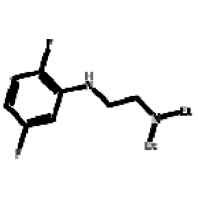 CCN(CC)CCNc1cc(F)c[c]c1F